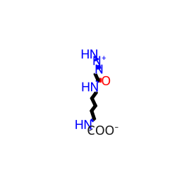 N=[N+]=NCC(=O)NCCCCCNC(=O)[O-]